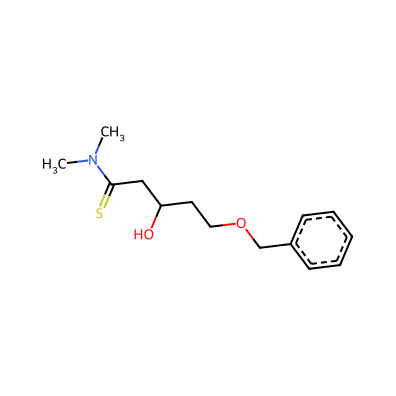 CN(C)C(=S)CC(O)CCOCc1ccccc1